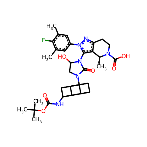 Cc1cc(-n2nc3c(c2N2C(=O)N(C45C6C7C4C4C5C6C74NC(=O)OC(C)(C)C)CC2O)[C@H](C)N(C(=O)O)CC3)cc(C)c1F